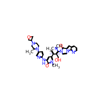 C=N/C(=C(CO)\C(=C/C)c1cc(Nc2ccc(N3CCN(C4COC4)C[C@@H]3C)cn2)c(=O)n(C)c1)n1ccn2c(cc3cccnc32)c1=O